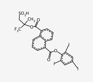 CC(CS(=O)(=O)O)(OC(=O)c1cccc2c(C(=O)Oc3c(I)cc(I)cc3I)cccc12)C(F)(F)F